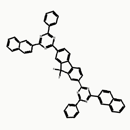 FC1(F)c2cc(-c3nc(-c4ccccc4)nc(-c4ccc5ccccc5c4)n3)ccc2-c2ccc(-c3nc(-c4ccccc4)nc(-c4ccc5ccccc5c4)n3)cc21